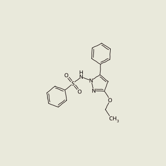 CCOc1cc(-c2ccccc2)n(NS(=O)(=O)c2ccccc2)n1